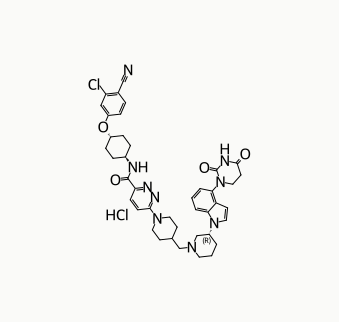 Cl.N#Cc1ccc(O[C@H]2CC[C@H](NC(=O)c3ccc(N4CCC(CN5CCC[C@@H](n6ccc7c(N8CCC(=O)NC8=O)cccc76)C5)CC4)nn3)CC2)cc1Cl